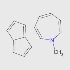 C1=CC2=CC=CC2=C1.CN1C=CC=CC=C1